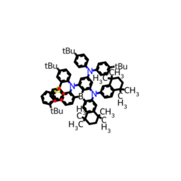 CC(C)(C)c1ccc(N(c2ccc(C(C)(C)C)cc2)c2cc3c4c(c2)N(c2ccc(C(C)(C)C)cc2-c2ccccc2)c2c(ccc5c2sc2cccc(C(C)(C)C)c25)B4c2cc4c(cc2N3c2ccc3c(c2)C(C)(C)CCC3(C)C)C(C)(C)CCC4(C)C)cc1